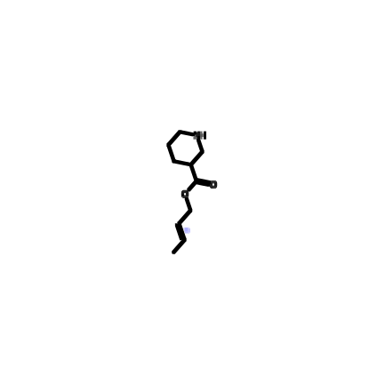 C/C=C/COC(=O)C1CCCNC1